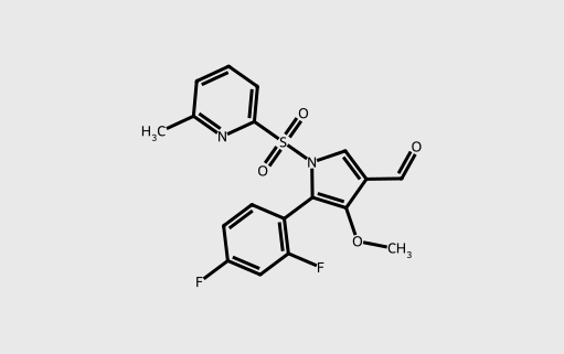 COc1c(C=O)cn(S(=O)(=O)c2cccc(C)n2)c1-c1ccc(F)cc1F